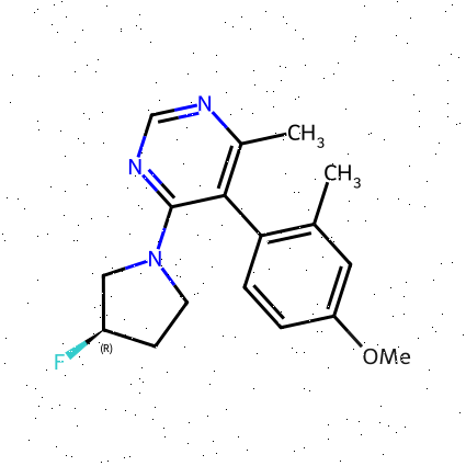 COc1ccc(-c2c(C)ncnc2N2CC[C@@H](F)C2)c(C)c1